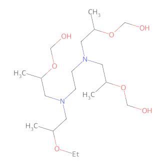 CCOC(C)CN(CCN(CC(C)OCO)CC(C)OCO)CC(C)OCO